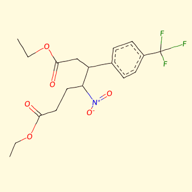 CCOC(=O)CCC(C(CC(=O)OCC)c1ccc(C(F)(F)F)cc1)[N+](=O)[O-]